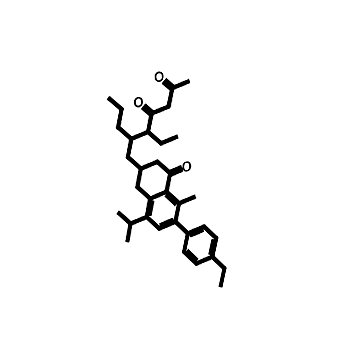 CCCC(CC1CC(=O)c2c(C)c(-c3ccc(CC)cc3)cc(C(C)C)c2C1)C(CC)C(=O)CC(C)=O